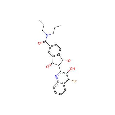 CCCN(CCC)C(=O)c1ccc2c(c1)C(=O)C(c1nc3ccccc3c(Br)c1O)C2=O